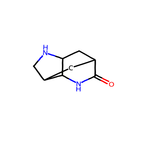 O=C1NC2C3CNC2CC1C3